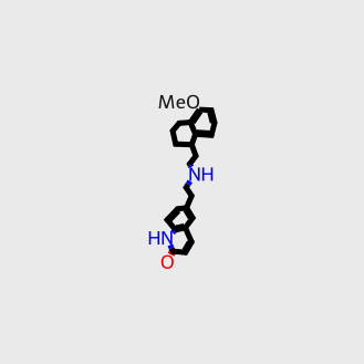 COc1cccc2c1CCCC2CCNCCc1ccc2[nH]c(=O)ccc2c1